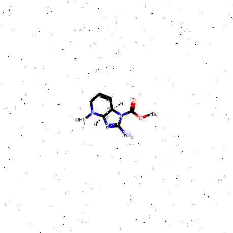 CC(C)(C)OC(=O)N1C(N)=N[C@@H]2[C@H]1C=CCN2C=O